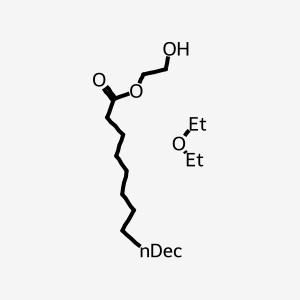 CCCCCCCCCCCCCCCCCC(=O)OCCO.CCOCC